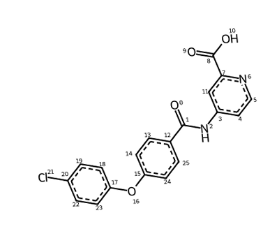 O=C(Nc1ccnc(C(=O)O)c1)c1ccc(Oc2ccc(Cl)cc2)cc1